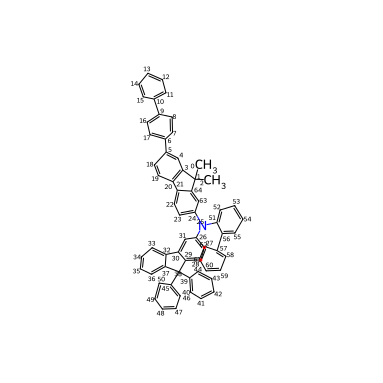 CC1(C)c2cc(-c3ccc(-c4ccccc4)cc3)ccc2-c2ccc(N(c3ccc4c(c3)-c3ccccc3C4(c3ccccc3)c3ccccc3)c3ccccc3-c3ccccc3)cc21